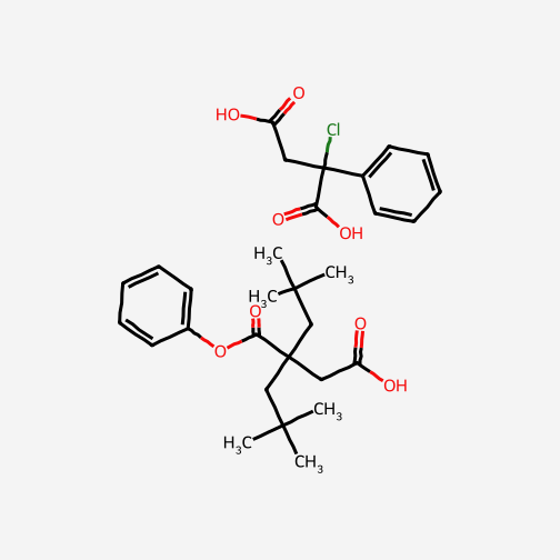 CC(C)(C)CC(CC(=O)O)(CC(C)(C)C)C(=O)Oc1ccccc1.O=C(O)CC(Cl)(C(=O)O)c1ccccc1